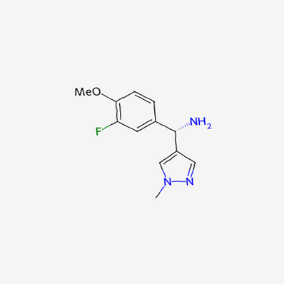 COc1ccc([C@H](N)c2cnn(C)c2)cc1F